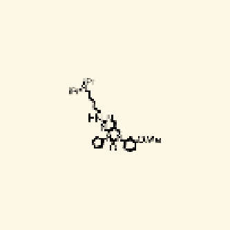 COc1cccc(N2Cc3cnc(NCCCCCN(C(C)C)C(C)C)nc3N(C3CCCC3)C2=O)c1F